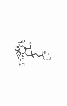 CCOP1(=O)N=C(CF)N(CC(C)(C)CCC(N)C(=O)O)P(=O)(OCC)C1(C)C.Cl